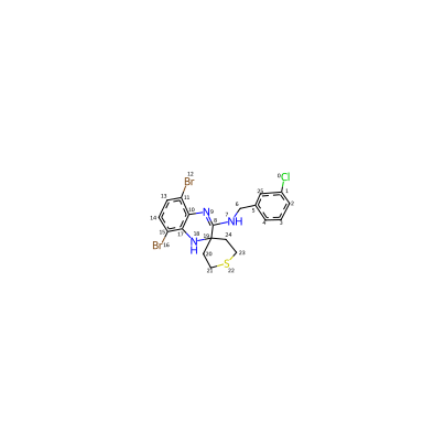 Clc1cccc(CNC2=Nc3c(Br)ccc(Br)c3NC23CCSCC3)c1